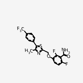 Cc1nc(COc2ccc(F)c(C(N)=O)c2F)sc1-c1ccc(C(F)(F)F)cc1